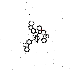 C1=Cc2sc3ccc(C4(c5ccccc5)c5nc(-c6ccc7oc8ccccc8c7c6)nc(n5)-c5cccc6oc7cccc4c7c56)cc3c2CC1